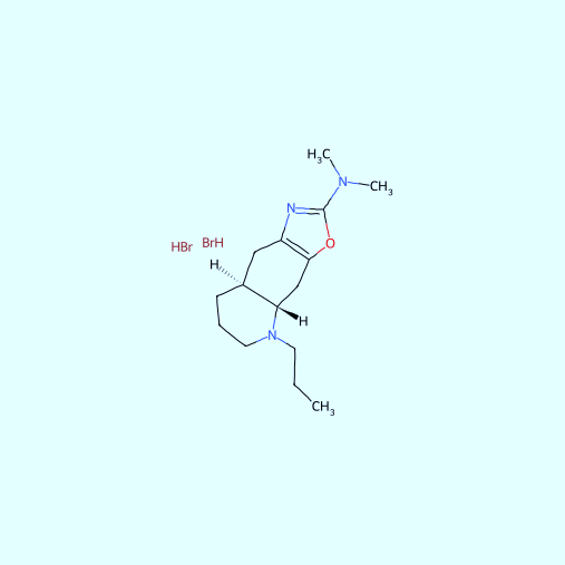 Br.Br.CCCN1CCC[C@H]2Cc3nc(N(C)C)oc3C[C@@H]21